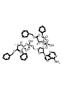 C[C@H](NP(=O)(Oc1ccccc1)OP(=O)(O)OC[C@@H]1C[C@H](OP(=O)(O)OP(=O)(N[C@@H](C)C(=O)OCc2ccccc2)Oc2ccccc2)C(n2cnc3c(N)ncnc32)O1)C(=O)OCc1ccccc1